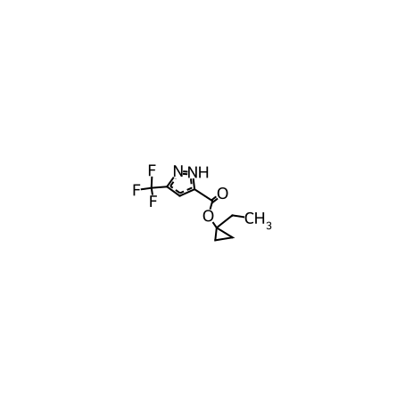 CCC1(OC(=O)c2cc(C(F)(F)F)n[nH]2)CC1